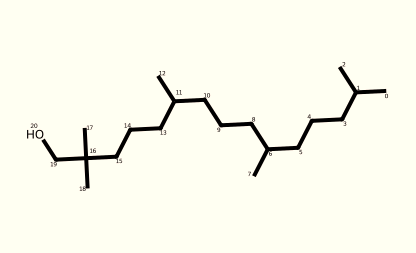 CC(C)CCCC(C)CCCC(C)CCCC(C)(C)CO